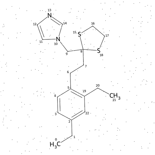 CCc1ccc(CCC2(Cn3ccnc3)SCCS2)c(CC)c1